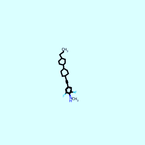 CCCC1CCC(C2CCC(C#Cc3cc(F)c(NC)c(F)c3)CC2)CC1